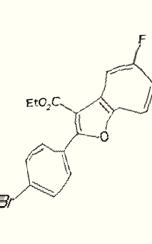 CCOC(=O)c1c(-c2ccc(Br)cc2)oc2ccc(F)cc12